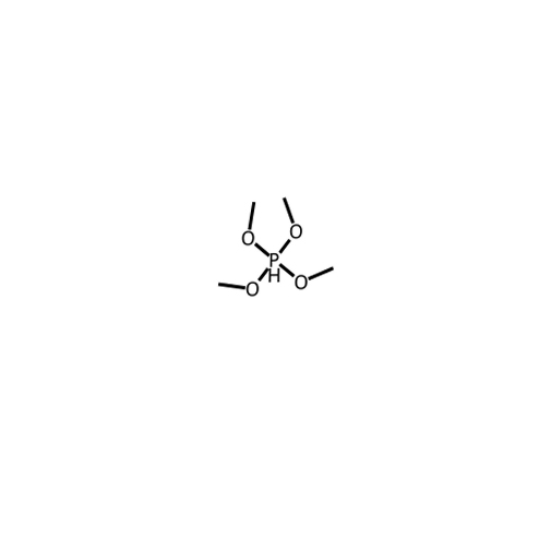 CO[PH](OC)(OC)OC